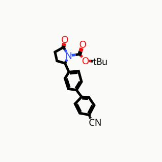 CC(C)(C)OC(=O)N1C(=O)CCC1c1ccc(-c2ccc(C#N)cc2)cc1